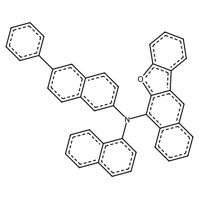 c1ccc(-c2ccc3cc(N(c4cccc5ccccc45)c4c5ccccc5cc5c4oc4ccccc45)ccc3c2)cc1